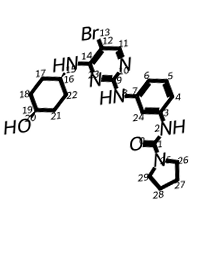 O=C(Nc1cccc(Nc2ncc(Br)c(N[C@H]3CC[C@H](O)CC3)n2)c1)N1CCCC1